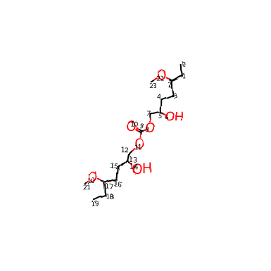 CCC(CCC(O)COC(=O)OCC(O)CCC(CC)OC)OC